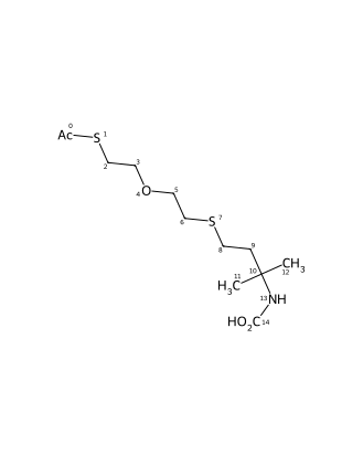 CC(=O)SCCOCCSCCC(C)(C)NC(=O)O